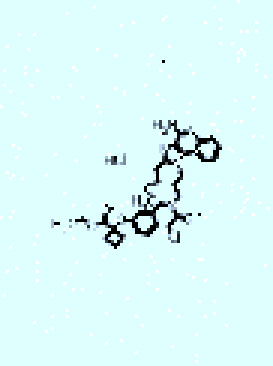 CCOC(=O)C1(Oc2cccc(CN(CCCn3c(CCOC)nc4c(N)nc5ccccc5c43)C(=O)CCl)c2)CCC1.Cl